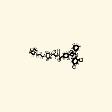 O=C(NCC(=O)N1CCN(CCCN2CCOCC2)CC1)c1ccc(S(=O)(=O)N(Oc2ccc(Cl)cc2Cl)c2ccccc2)cc1